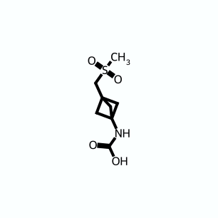 CS(=O)(=O)CC12CC(NC(=O)O)(C1)C2